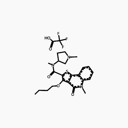 CCCCOc1c(C(=O)N(C)C2CCN(C)C2)sc2c1c(=O)n(C)c1ccccc21.O=C(O)C(F)(F)F